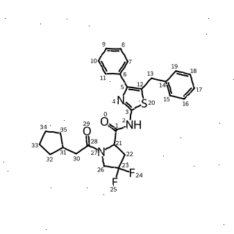 O=C(Nc1nc(-c2ccccc2)c(Cc2ccccc2)s1)C1CC(F)(F)CN1C(=O)CC1CCCC1